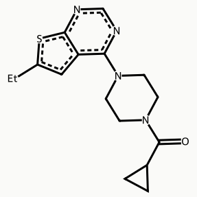 CCc1cc2c(N3CCN(C(=O)C4CC4)CC3)ncnc2s1